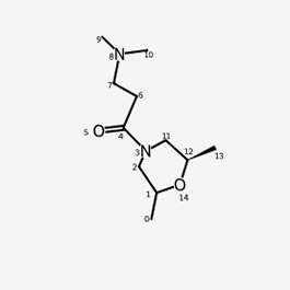 CC1CN(C(=O)CCN(C)C)C[C@@H](C)O1